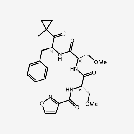 COC[C@H](NC(=O)c1ccon1)C(=O)N[C@@H](COC)C(=O)N[C@@H](Cc1ccccc1)C(=O)C1(C)CC1